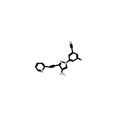 Cc1cn(-c2cc(F)cc(C#N)c2)nc1C#Cc1ccccn1